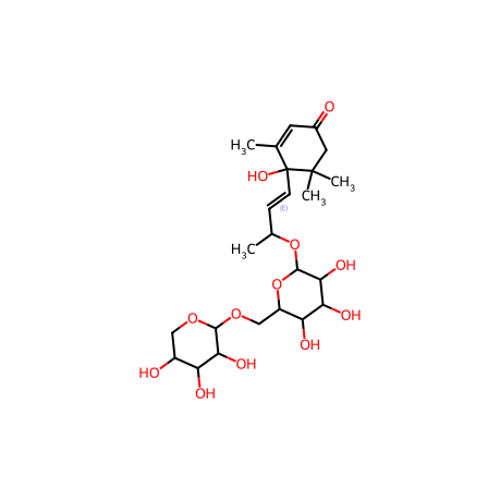 CC1=CC(=O)CC(C)(C)C1(O)/C=C/C(C)OC1OC(COC2OCC(O)C(O)C2O)C(O)C(O)C1O